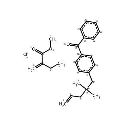 C=C(CC)C(=O)OC.C=CC[N+](C)(C)Cc1ccc(C(=O)c2ccccc2)cc1.[Cl-]